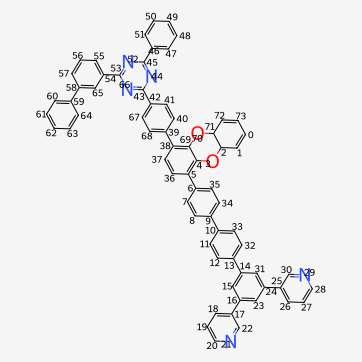 C1=CC2Oc3c(-c4ccc(-c5ccc(-c6cc(-c7cccnc7)cc(-c7cccnc7)c6)cc5)cc4)ccc(-c4ccc(-c5nc(-c6ccccc6)nc(-c6cccc(-c7ccccc7)c6)n5)cc4)c3OC2C=C1